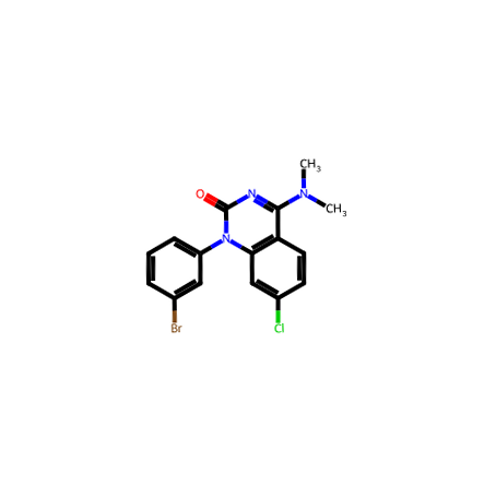 CN(C)c1nc(=O)n(-c2cccc(Br)c2)c2cc(Cl)ccc12